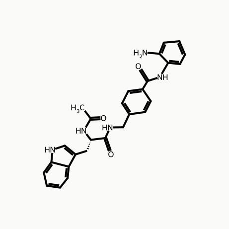 CC(=O)N[C@@H](Cc1c[nH]c2ccccc12)C(=O)NCc1ccc(C(=O)Nc2ccccc2N)cc1